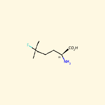 CC(C)(F)CC[C@H](N)C(=O)O